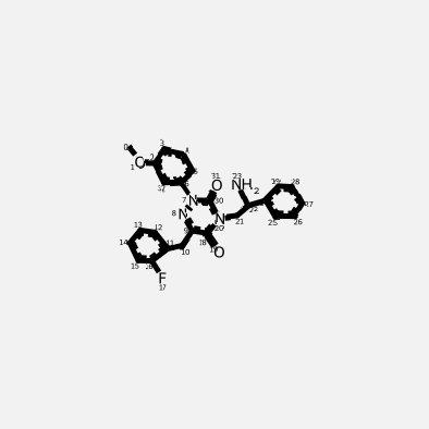 COc1cccc(-n2nc(Cc3ccccc3F)c(=O)n(CC(N)c3ccccc3)c2=O)c1